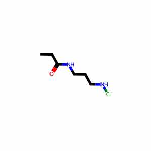 CCC(=O)NCCCNCl